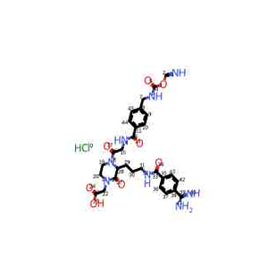 Cl.N=COC(=O)NCc1ccc(C(=O)NCC(=O)N2CCN(CC(=O)O)C(=O)C2CCCNC(=O)c2ccc(C(=N)N)cc2)cc1